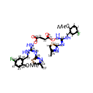 COc1ccc(F)cc1CNC(=Nc1nc(C)cs1)NOC(=O)/C=C/C(=O)ONC(=Nc1nc(C)cs1)NCc1cc(F)ccc1OC